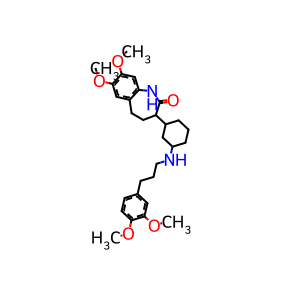 COc1ccc(CCCNC2CCCC(C3CCc4cc(OC)c(OC)cc4NC3=O)C2)cc1OC